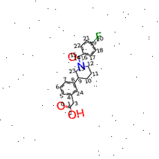 O=C(O)Cc1cccc(C2CCCN(C(=O)c3ccc(F)cc3)C2)c1